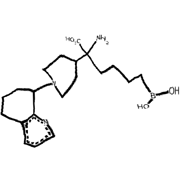 NC(CCCCB(O)O)(C(=O)O)C1CCN(C2CCCc3cccnc32)CC1